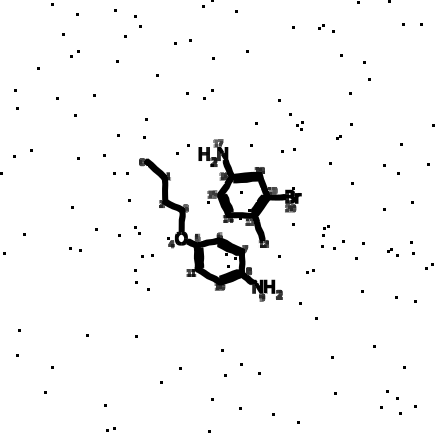 CCCCOc1ccc(N)cc1.Cc1ccc(N)cc1Br